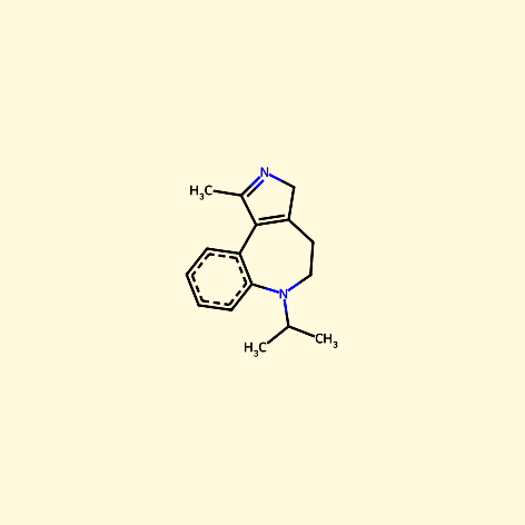 CC1=NCC2=C1c1ccccc1N(C(C)C)CC2